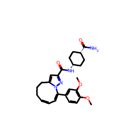 COc1ccc(/C2=C/C=C\CCCc3cc(C(=O)N[C@H]4CC[C@@H](C(N)=O)CC4)nn32)cc1OC